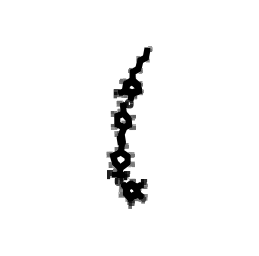 CCCCCc1ccc(OCC2CCC(C#CC3CCC(C(F)(F)Oc4cc(F)c(F)c(F)c4)CC3)CC2)c(F)c1